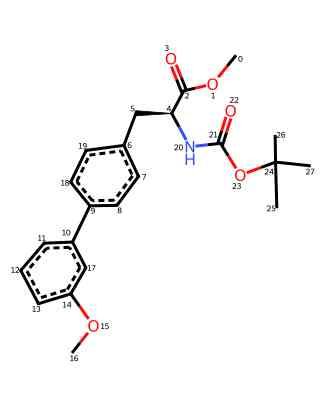 COC(=O)[C@H](Cc1ccc(-c2cccc(OC)c2)cc1)NC(=O)OC(C)(C)C